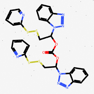 O=C(OC(CSSc1ccccn1)n1nnc2ccccc21)OC(CSSc1ccccn1)n1nnc2ccccc21